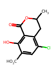 CC1Cc2c(Cl)cc(C(=O)O)c(O)c2C(=O)O1